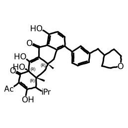 CC(=O)C1=C(O)C(C(C)C)[C@@]2(C)C[C@@]3(C)Cc4c(-c5cccc(CC6CCOCC6)c5)ccc(O)c4C(=O)C3=C(O)[C@@]2(O)C1=O